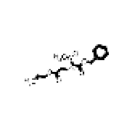 C=CCOC(=O)CC[C@@H](C(=O)OCc1ccccc1)N(C)Cl